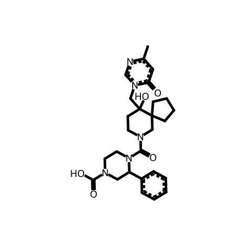 Cc1cc(=O)n(CC2(O)CCN(C(=O)N3CCN(C(=O)O)CC3c3ccccc3)CC23CCCC3)cn1